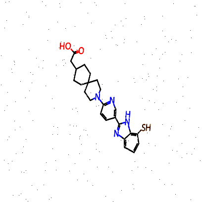 O=C(O)CC1CCC2(CC1)CCN(c1ccc(-c3nc4cccc(S)c4[nH]3)cn1)CC2